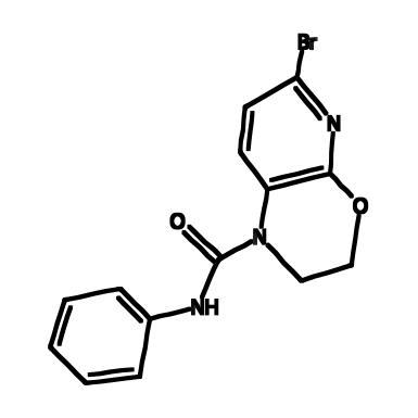 O=C(Nc1ccccc1)N1CCOc2nc(Br)ccc21